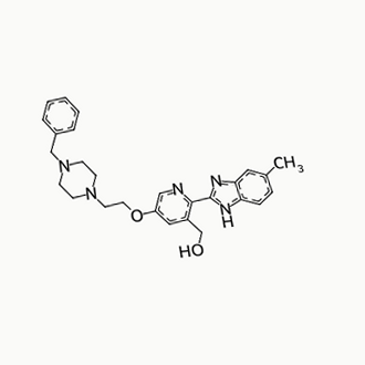 Cc1ccc2[nH]c(-c3ncc(OCCN4CCN(Cc5ccccc5)CC4)cc3CO)nc2c1